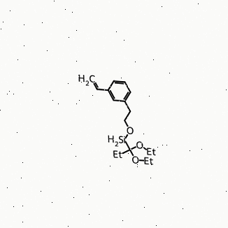 C=Cc1cccc(CCO[SiH2]C(CC)(OCC)OCC)c1